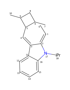 C/C=c1\c(=C/C2C(C)CC2C)c2ccccc2n1C(C)C